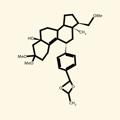 COC[C@@H]1CCC2C3CC[C@@]4(O)CC(OC)(OC)CCC4=C3[C@@H](c3ccc(C4OC(C)O4)cc3)C[C@@]21C